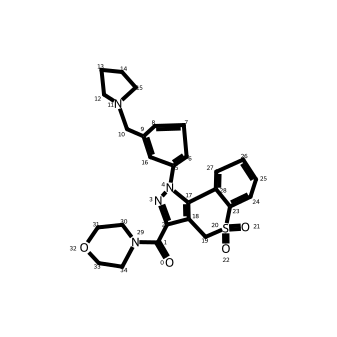 O=C(c1nn(-c2cccc(CN3CCCC3)c2)c2c1CS(=O)(=O)c1ccccc1-2)N1CCOCC1